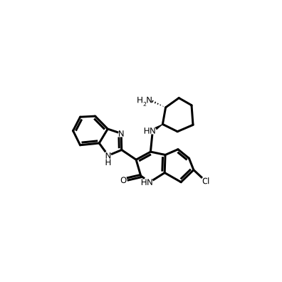 N[C@@H]1CCCC[C@H]1Nc1c(-c2nc3ccccc3[nH]2)c(=O)[nH]c2cc(Cl)ccc12